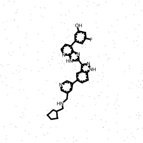 Oc1cc(F)cc(-c2ccnc3[nH]c(-c4n[nH]c5ccc(-c6cncc(CNCC7CCCC7)c6)cc45)nc23)c1